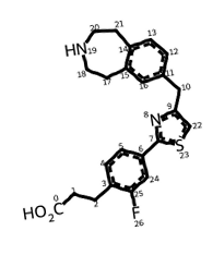 O=C(O)CCc1ccc(-c2nc(Cc3ccc4c(c3)CCNCC4)cs2)cc1F